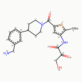 CSc1sc(C(=O)N2CCC(c3cccc(CN)c3)CC2)cc1NC(=O)C(=O)CO